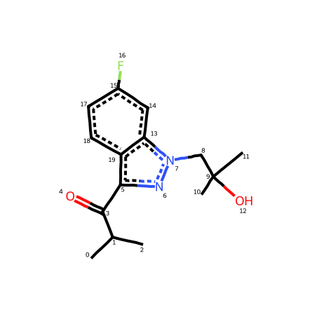 CC(C)C(=O)c1nn(CC(C)(C)O)c2cc(F)ccc12